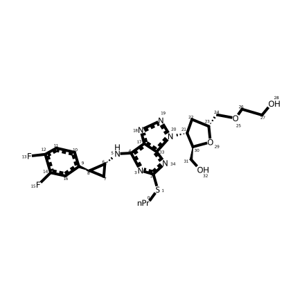 CCCSc1nc(N[C@@H]2C[C@H]2c2ccc(F)c(F)c2)c2nnn([C@@H]3C[C@H](COCCO)O[C@H]3CO)c2n1